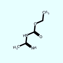 CCOC(=O)NC(C)=N